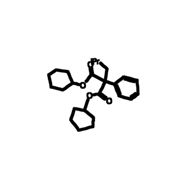 CC(C)CC(C(=O)OC1CCCCC1)(C(=O)OC1CCCCC1)c1ccccc1